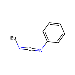 CCC(C)N=C=Nc1ccccc1